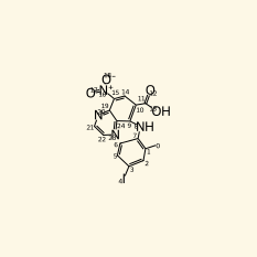 Cc1cc(I)ccc1Nc1c(C(=O)O)cc([N+](=O)[O-])c2nccnc12